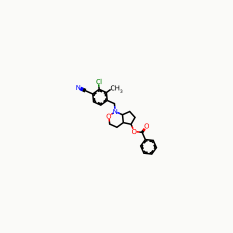 Cc1c(CN2OCCC3C(OC(=O)c4ccccc4)CCC32)ccc(C#N)c1Cl